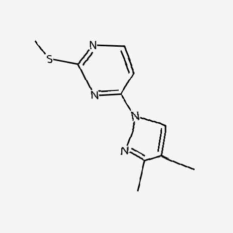 CSc1nccc(-n2cc(C)c(C)n2)n1